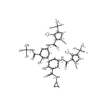 CCC(Cl)(C#N)NC(=O)c1cc(NC(=O)c2c(C(F)(F)F)c(C(F)(F)C(F)(F)F)nn2C)ccc1Cl.Cn1nc(C(F)(F)C(F)(F)F)c(C(F)(F)F)c1C(=O)Nc1ccc(Cl)c(C(=O)NC2CC2)c1